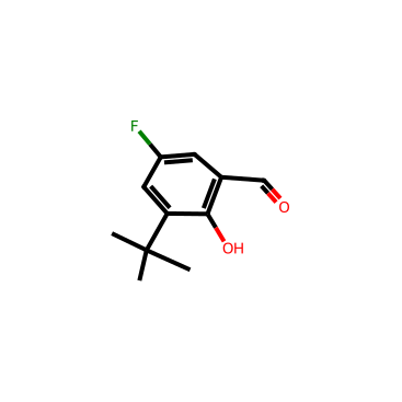 CC(C)(C)c1cc(F)cc(C=O)c1O